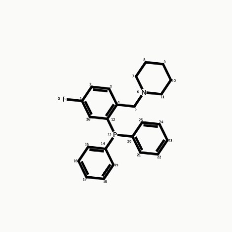 Fc1ccc(CN2CCCCC2)c(P(c2ccccc2)c2ccccc2)c1